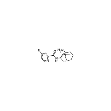 NC12CC3CC(C1)CC(NC(=O)c1cc(F)ccn1)(C3)C2